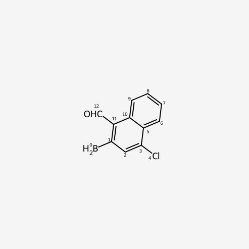 Bc1cc(Cl)c2ccccc2c1C=O